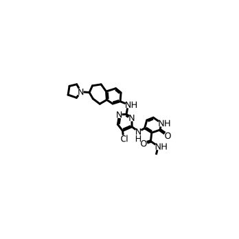 CNC(=O)c1c(Nc2nc(Nc3ccc4c(c3)CCC(N3CCCC3)CC4)ncc2Cl)cc[nH]c1=O